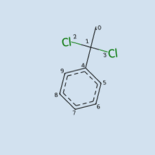 [CH2]C(Cl)(Cl)c1ccccc1